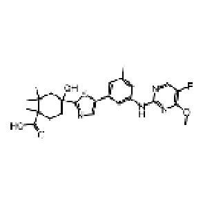 COc1nc(Nc2cc(C)cc(-c3cnc(C4(O)CCC(C)(C(=O)O)C(C)(C)C4)s3)c2)ncc1F